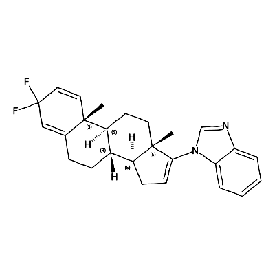 C[C@]12C=CC(F)(F)C=C1CC[C@@H]1[C@@H]2CC[C@]2(C)C(n3cnc4ccccc43)=CC[C@@H]12